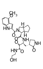 COc1cccc2[nH]c(C(=O)N3C[C@@H]4CCC[C@@H]4[C@H]3C(=O)N[C@@H](C[C@@H]3CCNC3=O)C(=O)C(=O)NCCO)cc12